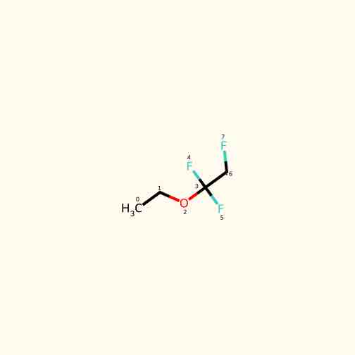 CCOC(F)(F)[CH]F